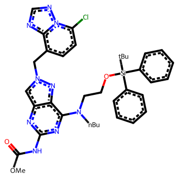 CCCCN(CCO[Si](c1ccccc1)(c1ccccc1)C(C)(C)C)c1nc(NC(=O)OC)nc2cn(Cc3ccc(Cl)n4ncnc34)nc12